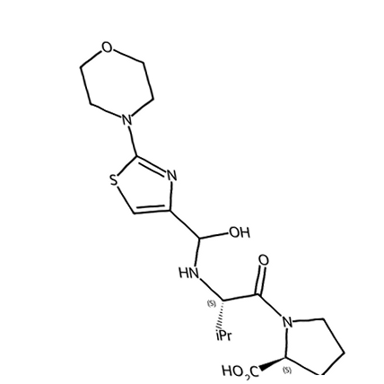 CC(C)[C@H](NC(O)c1csc(N2CCOCC2)n1)C(=O)N1CCC[C@H]1C(=O)O